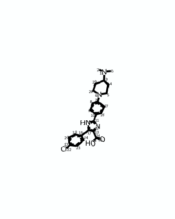 CN(C)C1CCN(c2ccc(-c3nc(C(=O)O)c(-c4ccc(Cl)cc4)[nH]3)cc2)CC1